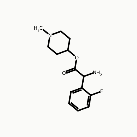 CN1CCC(OC(=O)C(N)c2ccccc2F)CC1